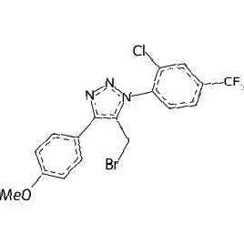 COc1ccc(-c2nnn(-c3ccc(C(F)(F)F)cc3Cl)c2CBr)cc1